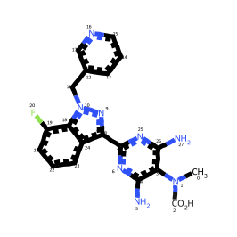 CN(C(=O)O)c1c(N)nc(-c2nn(Cc3cccnc3)c3c(F)cccc23)nc1N